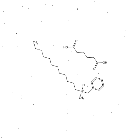 CCCCCCCCCCCC[N+](C)(C)Cc1ccccc1.O=C(O)CCCCC(=O)O